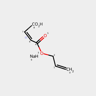 C=CCOC(=O)/C=C\C(=O)O.[NaH]